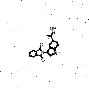 C/C(=N\O)c1ccc2[nH]cc(N3C(=O)c4ccccc4C3=O)c2c1